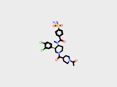 CC(=O)N1CCC(C(=O)N2CC[C@@H](N(C)C(=O)c3ccc(S(N)(=O)=O)cc3)[C@H](c3ccc(Cl)c(Cl)c3)C2)CC1